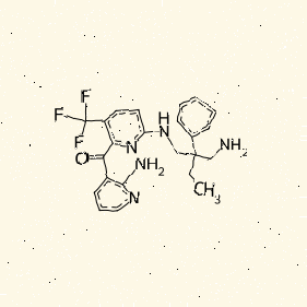 CCC(CN)(CNc1ccc(C(F)(F)F)c(C(=O)c2cccnc2N)n1)c1ccccc1